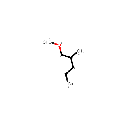 CCC(C)CCC(C)CO[C]=O